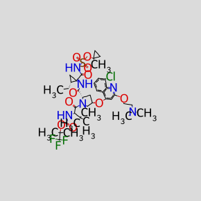 CC[C@@H]1C[C@]1(NC(=O)[C@@H]1C[C@@H](Oc2cc(OCCN(C)C)nc3c(Cl)cccc23)CN1C(=O)[C@@H](NC(=O)OC(C)(C)C(F)(F)F)C(C)(C)C)C(=O)NS(=O)(=O)OC1(C)CC1